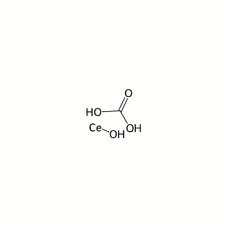 O=C(O)O.[OH][Ce]